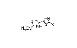 C/N=C1/NC(c2cnc(Cl)s2)CS1